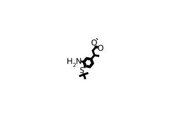 COC(=O)CC(C)c1ccc(SC(C)(C)C)c(N)c1